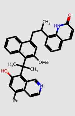 COc1cc(CC(C)c2cccc3ccc(=O)[nH]c23)c2ccccc2c1C(C)(C)c1c(O)cc(C(C)C)c2ccncc12